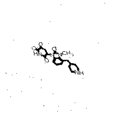 Cn1c(=O)n(C2CC(=O)C(=O)NC2=O)c2cccc(CC3CCNCC3)c21